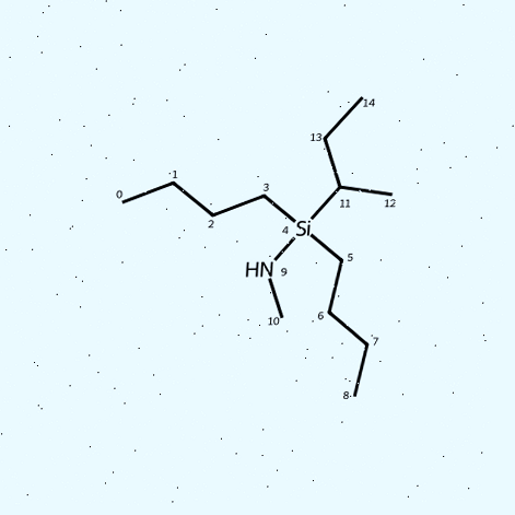 CCCC[Si](CCCC)(NC)C(C)CC